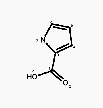 O=C(O)C1=CC=C[N]1